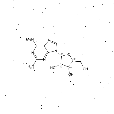 CNc1nc(N)nc2c1ncn2[C@@H]1O[C@@H](CO)[C@H](O)[C@@H]1O